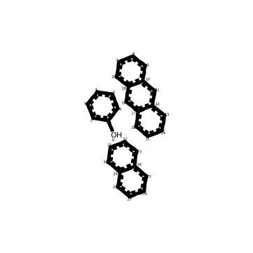 Oc1ccccc1.c1ccc2cc3ccccc3cc2c1.c1ccc2ccccc2c1